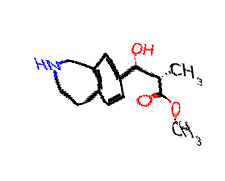 COC(=O)[C@@H](C)[C@@H](O)c1ccc2c(c1)CNCC2